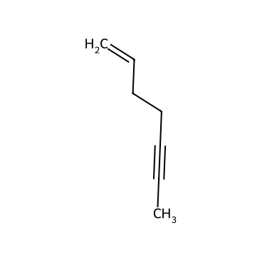 C=CCCC#CC